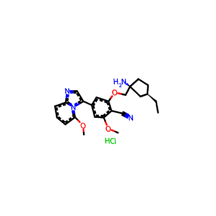 CC[C@@H]1CC[C@@](N)(COc2cc(-c3cnc4cccc(OC)n34)cc(OC)c2C#N)C1.Cl